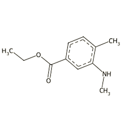 CCOC(=O)c1ccc(C)c(NC)c1